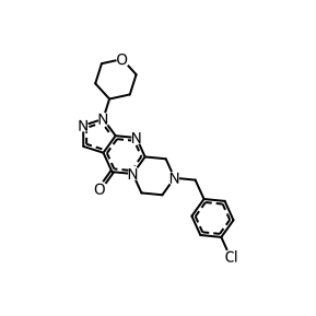 O=c1c2cnn(C3CCOCC3)c2nc2n1CCN(Cc1ccc(Cl)cc1)C2